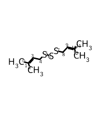 CC(C)=CCSSSCC=C(C)C